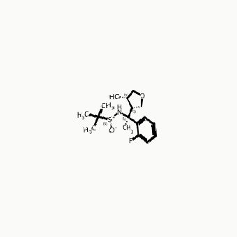 CC(C)(C)[S@@+]([O-])N[C@](C)(c1ccccc1F)[C@H]1COC[C@H]1O